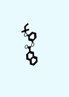 CCC(C)(C)Oc1cccc(OC(=O)c2ccc3ccccc3c2)c1